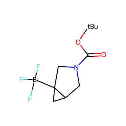 CC(C)(C)OC(=O)N1CC2CC2([B-](F)(F)F)C1